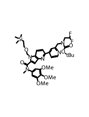 COc1cc(N(C)C(=O)c2cc3nc(-c4ccnc(CN(CC(F)F)C(=O)OC(C)(C)C)c4)ccc3n2COCC[Si](C)(C)C)cc(OC)c1OC